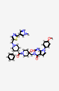 COc1ccc(-n2ccc3c(=O)n(CC4(O)CCN(C(=O)[C@@H]5CCN(Cc6cnc(-c7cnn(C)c7)s6)C[C@H]5c5ccccc5)CC4)cnc32)cc1